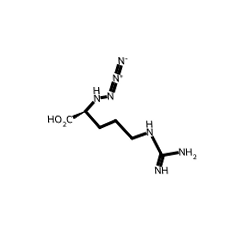 [N-]=[N+]=NN[C@@H](CCCNC(=N)N)C(=O)O